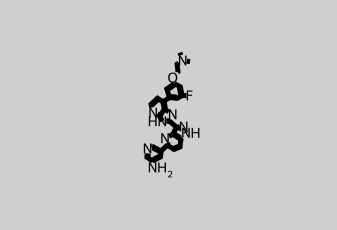 CN(C)CCOc1cc(F)cc(-c2ccnc3[nH]c(-c4n[nH]c5ccc(-c6cncc(N)c6)nc45)nc23)c1